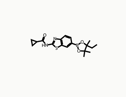 CCC1(C)OB(c2ccc3nc(NC(=O)C4CC4)sc3c2)OC1(C)C